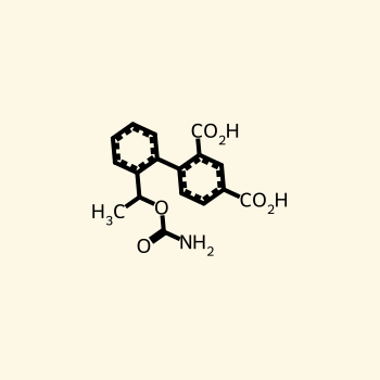 CC(OC(N)=O)c1ccccc1-c1ccc(C(=O)O)cc1C(=O)O